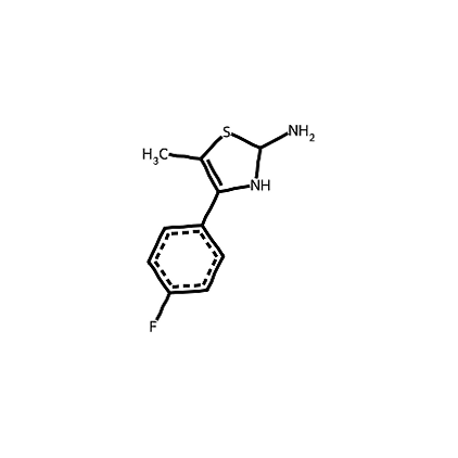 CC1=C(c2ccc(F)cc2)NC(N)S1